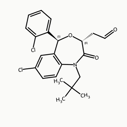 CC(C)(C)CN1C(=O)[C@@H](CC=O)O[C@H](c2ccccc2Cl)c2cc(Cl)ccc21